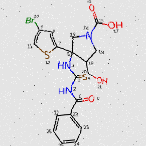 O=C(NC(=S)NC1(c2cc(Br)cs2)CN(C(=O)O)CC1CO)c1ccccc1